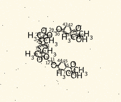 CC(C)(O)C(=O)c1ccc(OCCOC(=O)C(C)(C)SC(=S)SC(C)(C)C(=O)OCCOc2ccc(C(=O)C(C)(C)O)cc2)cc1